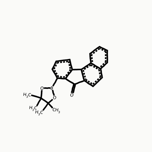 CC1(C)OB(c2cccc3c2C(=O)c2ccc4ccccc4c2-3)OC1(C)C